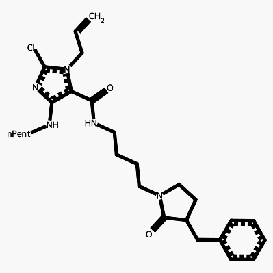 C=CCn1c(Cl)nc(NCCCCC)c1C(=O)NCCCCN1CCC(Cc2ccccc2)C1=O